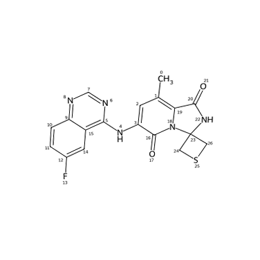 Cc1cc(Nc2ncnc3ccc(F)cc23)c(=O)n2c1C(=O)NC21CSC1